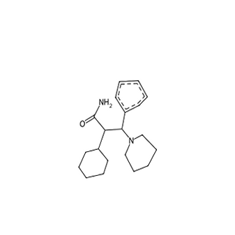 NC(=O)C(C1CCCCC1)C(c1ccccc1)N1CCCCC1